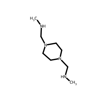 CNCN1CCN(CNC)CC1